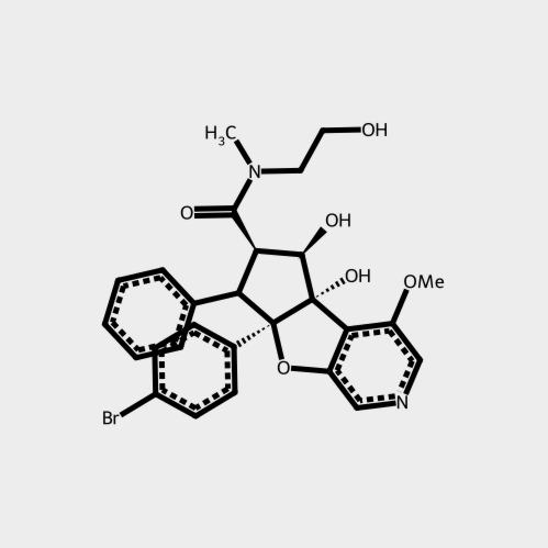 COc1cncc2c1[C@]1(O)[C@H](O)[C@H](C(=O)N(C)CCO)C(c3ccccc3)[C@]1(c1ccc(Br)cc1)O2